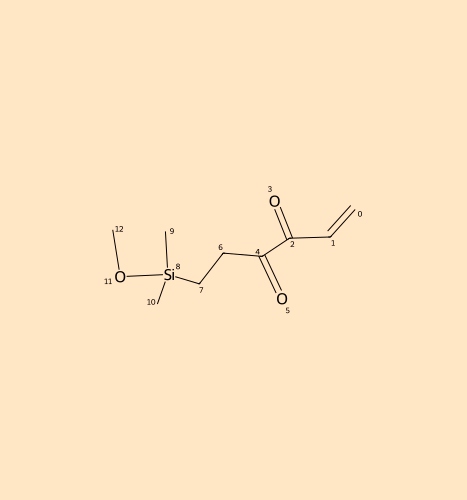 C=CC(=O)C(=O)CC[Si](C)(C)OC